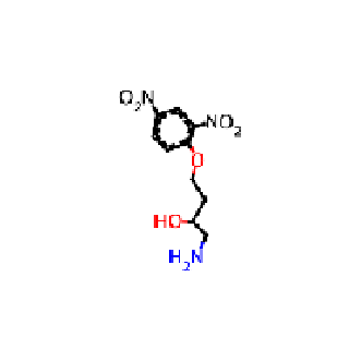 NCC(O)CCOc1ccc([N+](=O)[O-])cc1[N+](=O)[O-]